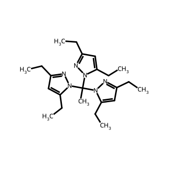 CCc1cc(CC)n(C(C)(n2nc(CC)cc2CC)n2nc(CC)cc2CC)n1